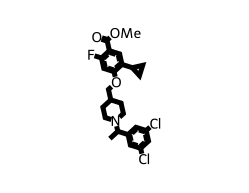 COC(=O)c1cc(C2CC2)c(OCC2CCN(C(C)c3cc(Cl)cc(Cl)c3)CC2)cc1F